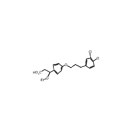 CCOC(CC(=O)O)c1ccc(OCCCc2ccc(Cl)c(Cl)c2)cc1